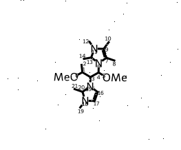 COC(C)C(C(OC)N1C(C)=C(C)N(C)C1C)N1C=CN(C)C1C